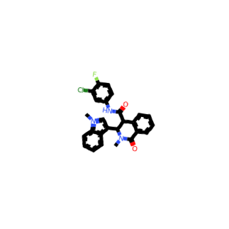 CN1C(=O)c2ccccc2C(C(=O)Nc2ccc(F)c(Cl)c2)C1c1cn(C)c2ccccc12